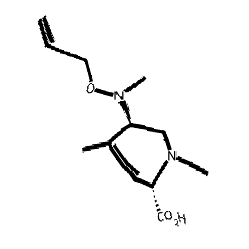 C=CCON(C)[C@H]1CN(C)[C@H](C(=O)O)C=C1C